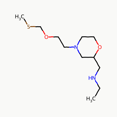 CCNCC1CN(CCOCSC)CCO1